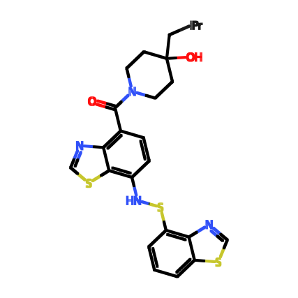 CC(C)CC1(O)CCN(C(=O)c2ccc(NSc3cccc4scnc34)c3scnc23)CC1